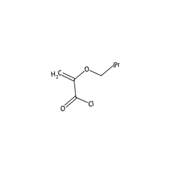 C=C(OCC(C)C)C(=O)Cl